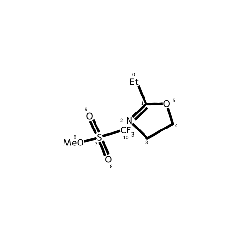 CCC1=NCCO1.COS(=O)(=O)C(F)(F)F